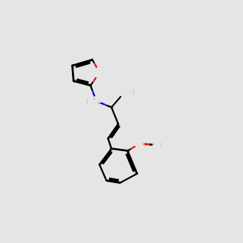 COc1ccccc1C=CC(C)Nc1ccco1